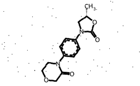 C[C@H]1CN(c2ccc(N3CCOCC3=O)cc2)C(=O)O1